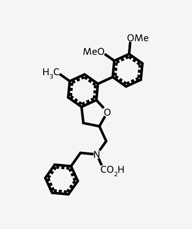 COc1cccc(-c2cc(C)cc3c2OC(CN(Cc2ccccc2)C(=O)O)C3)c1OC